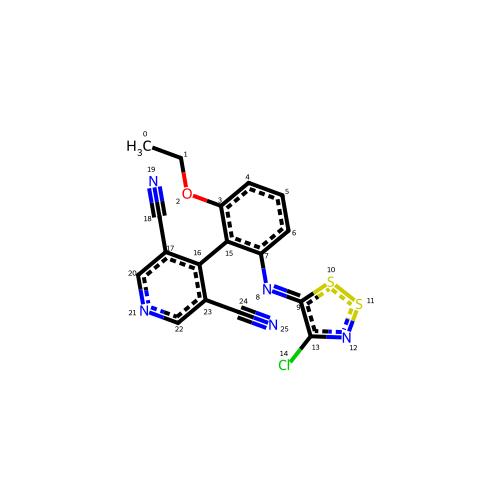 CCOc1cccc(N=c2ssnc2Cl)c1-c1c(C#N)cncc1C#N